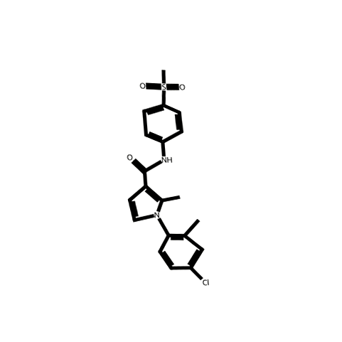 Cc1cc(Cl)ccc1-n1ccc(C(=O)Nc2ccc(S(C)(=O)=O)cc2)c1C